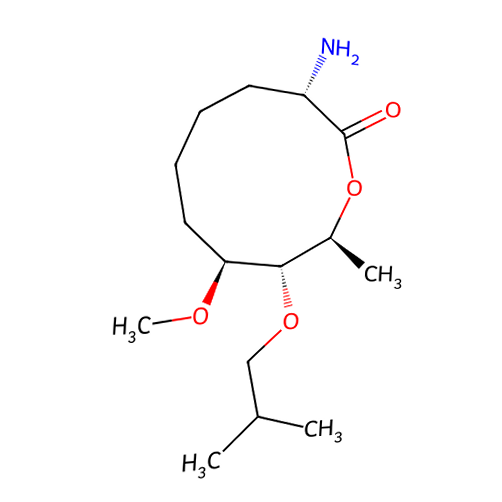 CO[C@H]1CCCC[C@H](N)C(=O)O[C@@H](C)[C@@H]1OCC(C)C